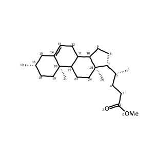 COC(=O)CC[C@@H](C)[C@H]1CCC2C3CC=C4C[C@@H](C)CC[C@]4(C)C3CC[C@@]21C